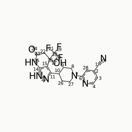 N#Cc1ccnc(N2CCC(c3n[nH]c4c3C(O)(C(F)(F)F)CC(=O)N4)CC2)c1